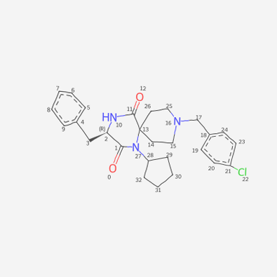 O=C1[C@@H](Cc2ccccc2)NC(=O)C2(CCN(Cc3ccc(Cl)cc3)CC2)N1C1CCCC1